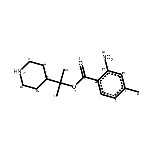 Cc1ccc(C(=O)OC(C)(C)C2CCNCC2)c([N+](=O)[O-])c1